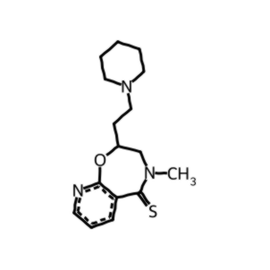 CN1CC(CCN2CCCCC2)Oc2ncccc2C1=S